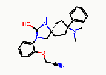 CN(C)[C@]1(c2ccccc2)CC[C@]2(CC1)CN(c1ccccc1OCC#N)C(O)N2